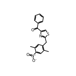 Cc1cc([N+](=O)[O-])c(C)cc1Cc1nc(C(=O)c2ccccc2)cs1